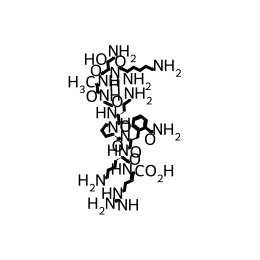 C[C@H](NC(=O)[C@@H](NC(=O)[C@@H](N)CCCCN)[C@@H](O)CN)C(=O)NCC(=O)N[C@H](CCCN)C(=O)N1CCC[C@H]1C(=O)N[C@@H](Cc1ccccc1C(N)=O)C(=O)N[C@@H](CCCCN)C(=O)N/C(=C\CCNC(=N)N)C(=O)O